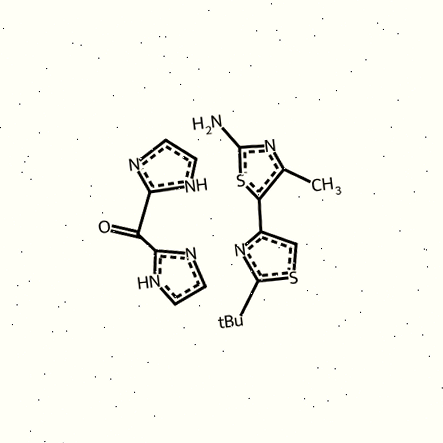 Cc1nc(N)sc1-c1csc(C(C)(C)C)n1.O=C(c1ncc[nH]1)c1ncc[nH]1